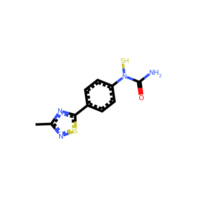 Cc1nsc(-c2ccc(N(S)C(N)=O)cc2)n1